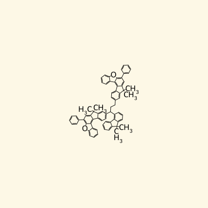 CC1(C)c2ccccc2-c2c(C(CCc3ccc4c(c3)C(C)(C)c3cc(-c5ccccc5)c5oc6ccccc6c5c3-4)c3ccc4c(c3)C(C)(C)c3cc(-c5ccccc5)c5oc6ccccc6c5c3-4)cccc21